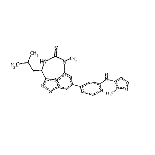 CC(C)C[C@H]1NC(=O)N(C)c2cc(-c3ccnc(Nc4ccnn4C)c3)cc3nnc1n23